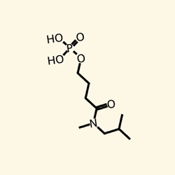 CC(C)CN(C)C(=O)CCCOP(=O)(O)O